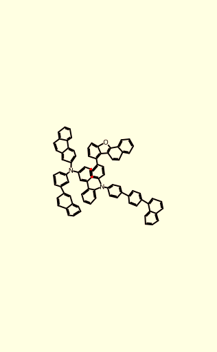 c1cc(-c2ccc3ccccc3c2)cc(N(c2cccc(-c3ccccc3N(c3ccc(-c4ccc(-c5cccc6ccccc56)cc4)cc3)c3ccc(-c4cccc5oc6c7ccccc7ccc6c45)cc3)c2)c2ccc3c(ccc4ccccc43)c2)c1